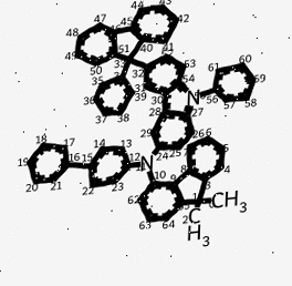 CC1(C)c2ccccc2-c2c(N(c3ccc(-c4ccccc4)cc3)c3ccc4c(c3)c3cc(C5(c6ccccc6)c6ccccc6-c6ccccc65)ccc3n4-c3ccccc3)cccc21